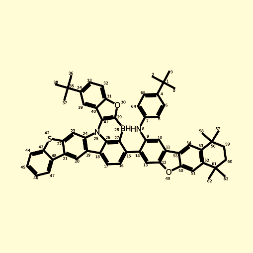 CC(C)(C)c1ccc(Nc2cc3c(cc2-c2ccc4c5cc6c(cc5n5c4c2Bc2oc4ccc(C(C)(C)C)cc4c2-5)sc2ccccc26)oc2cc4c(cc23)C(C)(C)CCC4(C)C)cc1